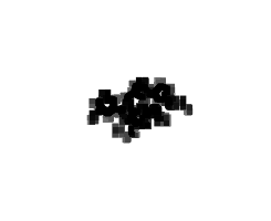 CCOc1nc(C)c2nc(-c3cncc(F)c3)n(CC3C=NN(C4CCN(C)C4)C3)c2n1